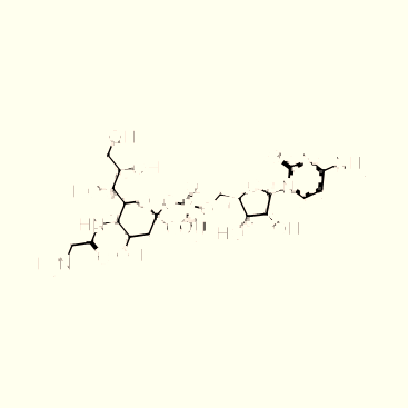 NCC(=O)N[C@@H]1C(O)C[C@@](OP(=O)(O)OC[C@H]2O[C@@H](n3ccc(N)nc3=O)[C@@H](O)[C@H]2O)(C(=O)O)OC1[C@H](O)[C@H](O)CO